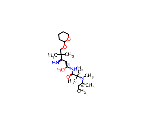 CC[C@H](C)N(C)C(C)(C)C(=O)N/C(O)=C/C(=N)C(C)(C)COC1CCCCO1